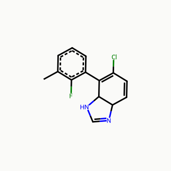 Cc1cccc(C2=C(Cl)C=CC3N=CNC23)c1F